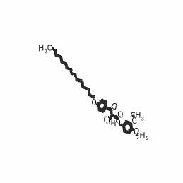 CCCCCCCCCCCCCCCCOc1ccc(C(=O)C(Cl)C(=O)Nc2ccc(OC)c(OC)c2)cc1